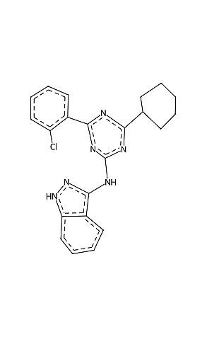 Clc1ccccc1-c1nc(Nc2n[nH]c3ccccc23)nc(C2CCCCC2)n1